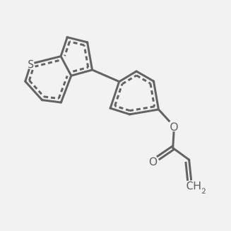 C=CC(=O)Oc1ccc(-c2ccc3scccc2-3)cc1